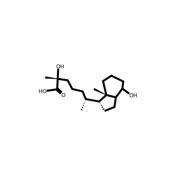 C[C@H](CCC[C@@](C)(O)C(=O)O)[C@H]1CCC2C(O)CCC[C@]21C